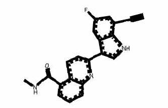 C#Cc1cc(F)cc2c(-c3ccc4c(C(=O)NC)cccc4n3)c[nH]c12